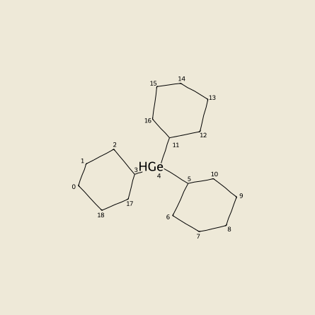 C1CC[CH]([GeH]([CH]2CCCCC2)[CH]2CCCCC2)CC1